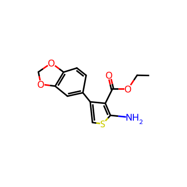 CCOC(=O)c1c(-c2ccc3c(c2)OCO3)csc1N